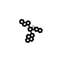 c1ccc2cc3c(cc2c1)oc1c(-c2cccc4c2ccc2ccccc24)ccc(-c2ccc4ccc5cccc6ccc2c4c56)c13